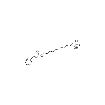 O=C(C=Cc1ccccc1)OCCCCCCCCCCCP(=O)(O)O